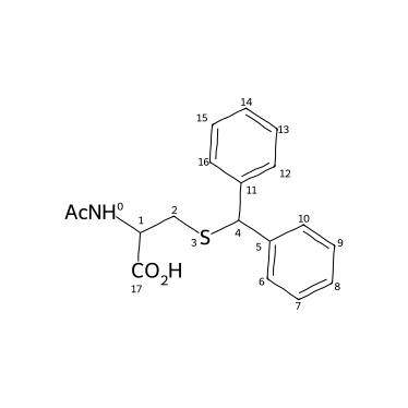 CC(=O)NC(CSC(c1ccccc1)c1ccccc1)C(=O)O